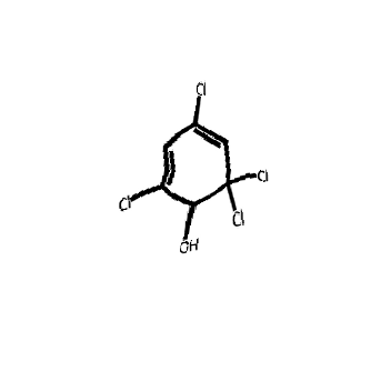 OC1C(Cl)=CC(Cl)=CC1(Cl)Cl